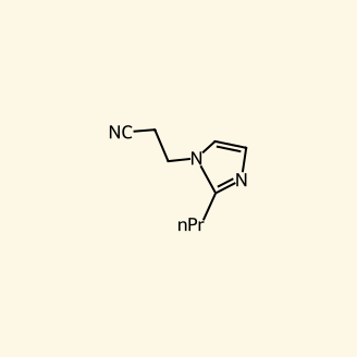 CCCc1nccn1CCC#N